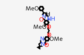 COc1cccc(C2=CN3C(=O)c4cc(OC)c(OCCCOc5cc6c(cc5OC)C(=O)N5CC7(CC7)CC5C=N6)cc4NC[C@@H]3C2)c1